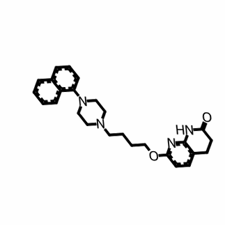 O=C1CCc2ccc(OCCCCN3CCN(c4cccc5ccccc45)CC3)nc2N1